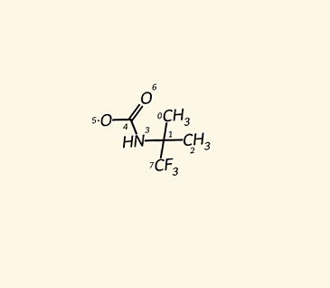 CC(C)(NC([O])=O)C(F)(F)F